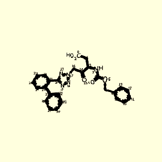 O=C(O)CC(NC(=O)OCc1ccccc1)C(=O)Cn1nnc(-c2ccccc2-c2ccccc2)n1